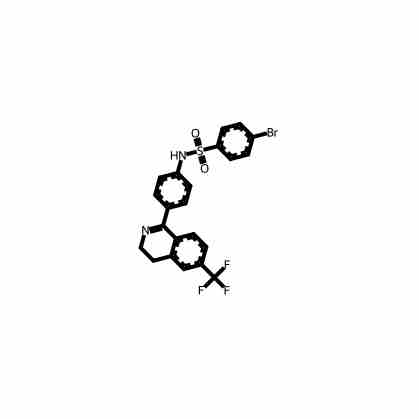 O=S(=O)(Nc1ccc(C2=NCCc3cc(C(F)(F)F)ccc32)cc1)c1ccc(Br)cc1